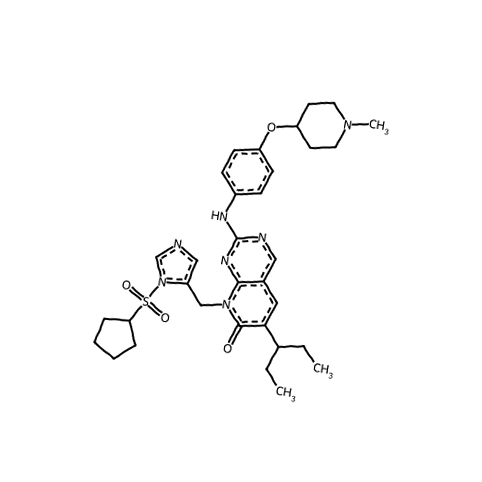 CCC(CC)c1cc2cnc(Nc3ccc(OC4CCN(C)CC4)cc3)nc2n(Cc2cncn2S(=O)(=O)C2CCCC2)c1=O